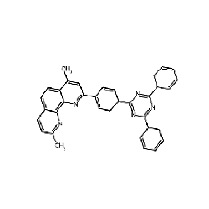 Cc1ccc2ccc3c(C)cc(C4=CCC(c5nc(C6C=CC=CC6)nc(C6C=CC=CC6)n5)C=C4)nc3c2n1